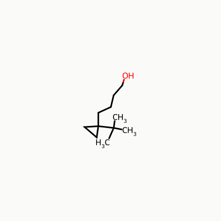 CC(C)(C)C1(CCCCO)CC1